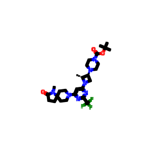 C[C@@H]1[C@H](N2CCN(C(=O)OC(C)(C)C)CC2)CN1c1cc(N2CCC3(CCC(=O)N3C)CC2)nc(C(F)(F)F)n1